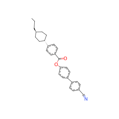 CCC[C@H]1CC[C@H](c2ccc(C(=O)Oc3ccc(-c4ccc(C#N)cc4)cc3)cc2)CC1